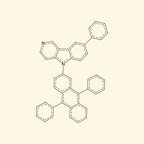 c1ccc(-c2ccc3c(c2)c2cnccc2n3-c2ccc3c(-c4ccccc4)c4ccccc4c(-c4ccccc4)c3c2)cc1